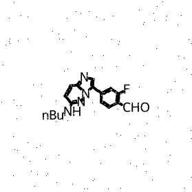 CCCCNc1ccc2ncc(-c3ccc(C=O)c(F)c3)n2n1